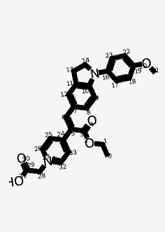 CCOC(=O)/C(=C\c1ccc2c(c1)CCN2c1ccc(OC)cc1)c1cc[n+](CC(=O)O)cc1